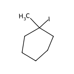 CC1(I)CCCCC1